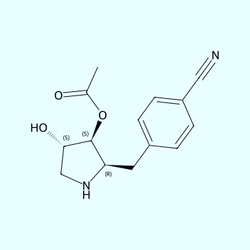 CC(=O)O[C@@H]1[C@@H](O)CN[C@@H]1Cc1ccc(C#N)cc1